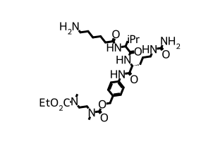 CCOC(=O)N(C)CCN(C)C(=O)OCc1ccc(NC(=O)[C@@H](CCCNC(N)=O)NC(=O)C(NC(=O)CCCCCN)C(C)C)cc1